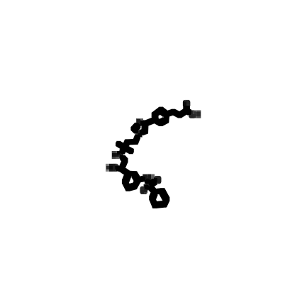 CC(C)(CCn1cnc(-c2ccc(CCC(=O)O)cc2)c1)NCC(O)c1cccc(NS(=O)(=O)c2ccccc2)c1